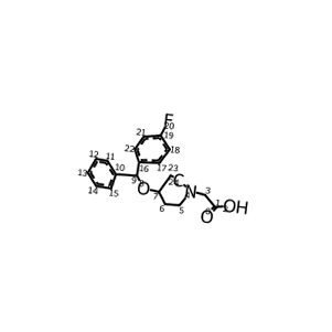 O=C(O)CN1CCC(OC(c2ccccc2)c2ccc(F)cc2)CC1